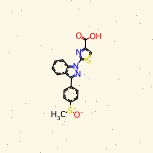 C[S+]([O-])c1ccc(-c2nn(-c3nc(C(=O)O)cs3)c3ccccc23)cc1